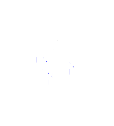 C=C1NC(=C)[C@](CNC)(C2CC2)N1